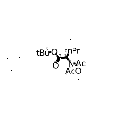 CCCC(C(=O)OC(C)(C)C)N(OC(C)=O)C(C)=O